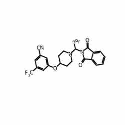 CCCC(N1CCC(Oc2cc(C#N)cc(C(F)(F)F)c2)CC1)N1C(=O)c2ccccc2C1=O